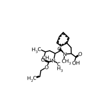 C=CCOC(=O)N(C)C(CC(C)C)C(=O)N(C)C(Cc1ccccc1)C(=O)O